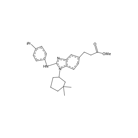 COC(=O)CCc1ccc2c(c1)nc(Nc1ccc(C(C)C)cc1)n2C1CCCC(C)(C)C1